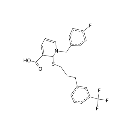 O=C(O)C1=CC=CN(Cc2ccc(F)cc2)C1SCCCc1cccc(C(F)(F)F)c1